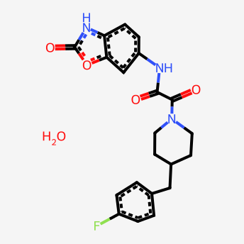 O.O=C(Nc1ccc2[nH]c(=O)oc2c1)C(=O)N1CCC(Cc2ccc(F)cc2)CC1